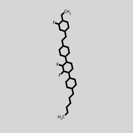 CCCCCCC1CCC(C2CCC(C3CCC(CCC4CCC(CC)C(F)C4)CC3)C(F)C2F)CC1